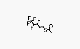 CC(=O)SCCC(F)C(F)C(F)(F)F